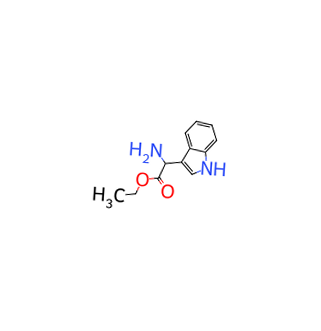 CCOC(=O)C(N)c1c[nH]c2ccccc12